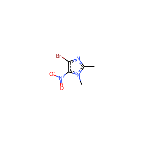 Cc1nc(Br)c([N+](=O)[O-])n1C